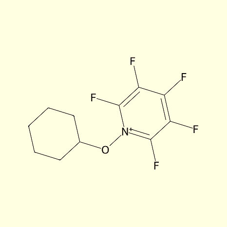 Fc1c(F)c(F)[n+](OC2CCCCC2)c(F)c1F